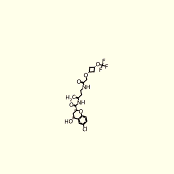 C=C(CCNC(=O)CO[C@H]1C[C@@H](OC(F)(F)F)C1)NC(=O)[C@@H]1C[C@@H](O)c2cc(Cl)ccc2O1